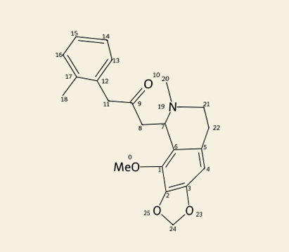 COc1c2c(cc3c1C(CC(=O)Cc1ccccc1C)N(C)CC3)OCO2